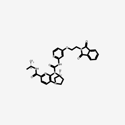 C[C@@H](NC(=O)c1ccc2c(n1)N(C(=O)Nc1cc(OCCN3C(=O)c4ccccc4C3=O)ccn1)[C@H]1CCN2C1)C(F)(F)F